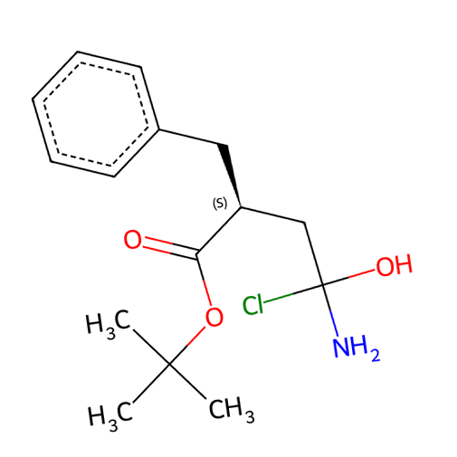 CC(C)(C)OC(=O)[C@@H](Cc1ccccc1)CC(N)(O)Cl